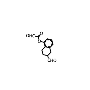 O=CC(=O)Oc1cccc2c1CCC(C=O)C2